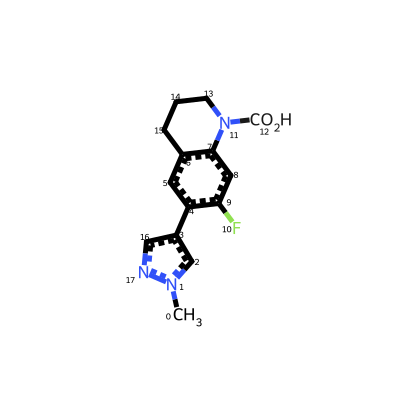 Cn1cc(-c2cc3c(cc2F)N(C(=O)O)CCC3)cn1